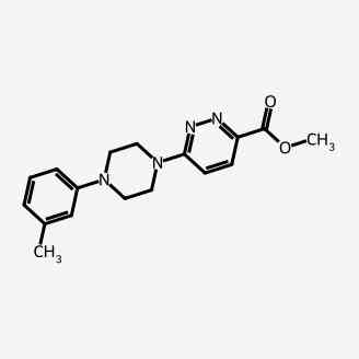 COC(=O)c1ccc(N2CCN(c3cccc(C)c3)CC2)nn1